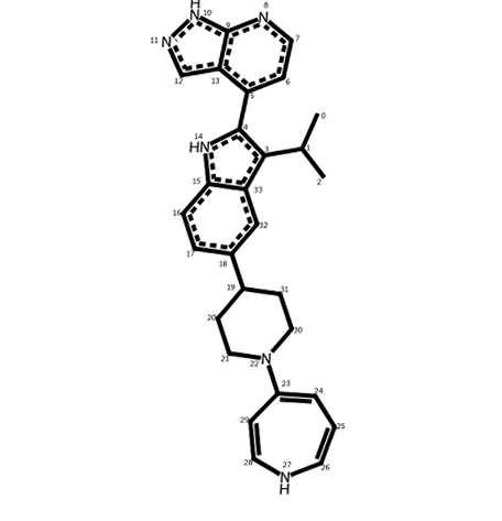 CC(C)c1c(-c2ccnc3[nH]ncc23)[nH]c2ccc(C3CCN(C4=CC=CNC=C4)CC3)cc12